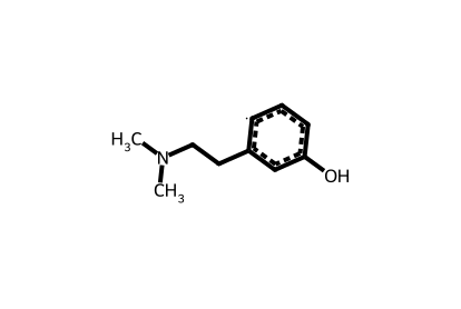 CN(C)CCc1[c]ccc(O)c1